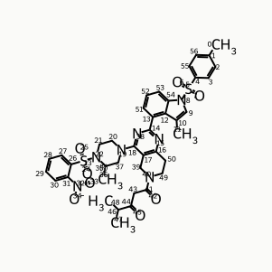 Cc1ccc(S(=O)(=O)n2cc(C)c3c(-c4nc5c(c(N6CCN(S(=O)(=O)c7ccccc7[N+](=O)[O-])[C@H](C)C6)n4)CN(C(=O)CC(=O)C(C)C)CC5)cccc32)cc1